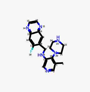 Cc1cncc(NCc2cc3nccnc3cc2F)c1N1CCNCC1